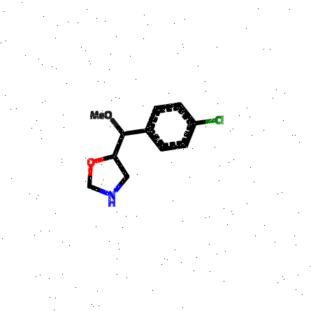 COC(c1ccc(Cl)cc1)C1CNCO1